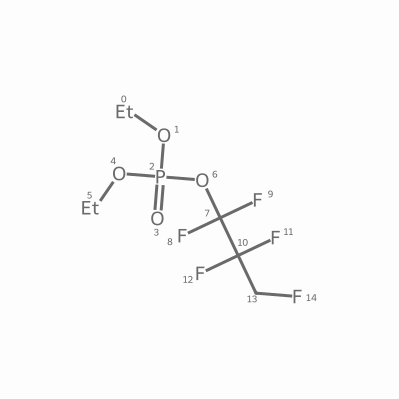 CCOP(=O)(OCC)OC(F)(F)C(F)(F)CF